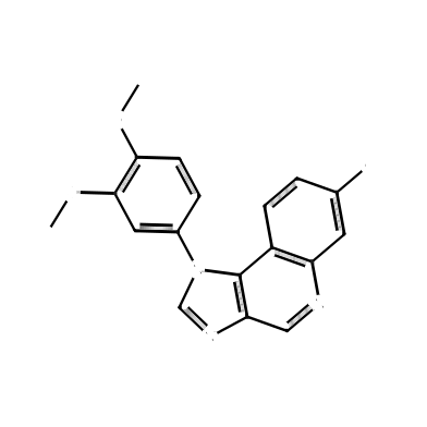 COc1ccc(-n2cnc3cnc4cc(Cl)ccc4c32)cc1OC